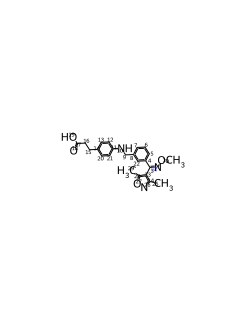 CO/N=C(\c1cccc(CNc2ccc(CCC(=O)O)cc2)c1)c1c(C)noc1C